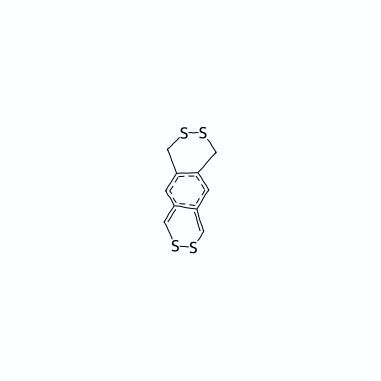 C1=c2cc3c(cc2=CSS1)CSSC3